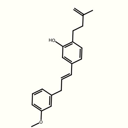 C=C(C)CCc1ccc(/C=C/Cc2cccc(OC)c2)cc1O